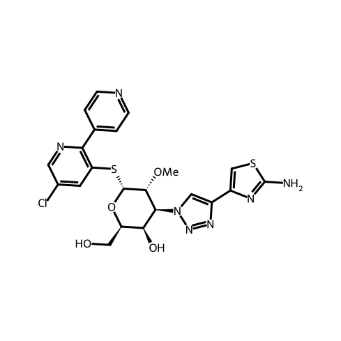 CO[C@@H]1[C@@H](n2cc(-c3csc(N)n3)nn2)[C@@H](O)[C@@H](CO)O[C@@H]1Sc1cc(Cl)cnc1-c1ccncc1